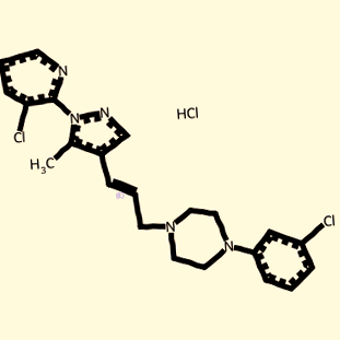 Cc1c(/C=C/CN2CCN(c3cccc(Cl)c3)CC2)cnn1-c1ncccc1Cl.Cl